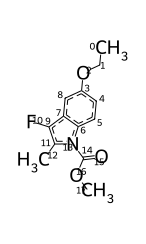 CCOc1ccc2c(c1)c(F)c(C)n2C(=O)OC